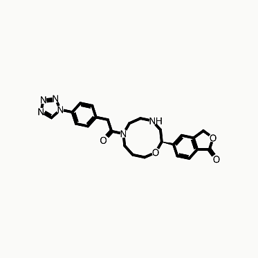 O=C1OCc2cc([C@@H]3CNCCN(C(=O)Cc4ccc(-n5cnnn5)cc4)CCCO3)ccc21